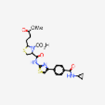 COC(=O)CCC1SCC(C(=O)Nc2nc(-c3ccc(C(=O)NC4CC4)cc3)cs2)N1C(=O)O